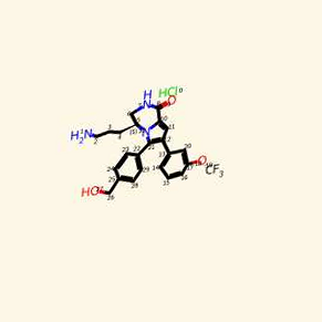 Cl.NCCC[C@H]1CNC(=O)c2cc(-c3cccc(OC(F)(F)F)c3)c(-c3ccc(CO)cc3)n21